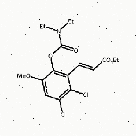 CCOC(=O)/C=C/c1c(Cl)c(Cl)cc(OC)c1OC(=O)N(CC)CC